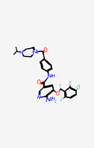 CC(C)N1CCN(C(=O)c2ccc(NC(=O)c3cnc(N)c(O[C@H](C)c4c(F)ccc(Cl)c4F)c3)cc2)CC1